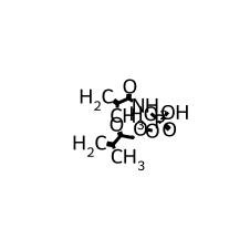 C=C(C)C(=O)COOP(=O)(O)O.C=C(C)C(N)=O